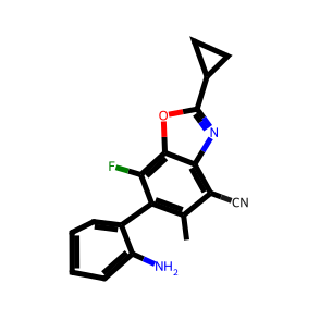 Cc1c(-c2ccccc2N)c(F)c2oc(C3CC3)nc2c1C#N